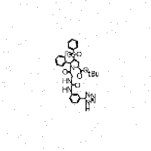 CC(C)(C)OC(=O)C1CC(S(=O)(=O)c2ccccc2)C(c2ccccc2F)N1C(=O)CNC(=O)Nc1cccc(-c2nnn[nH]2)c1